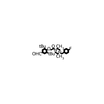 C[C@@H]1CN(C(=O)COc2c(C(C)(C)C)cc(C=O)cc2C(C)(C)C)[C@@H](C)CN1Cc1ccc(F)cc1